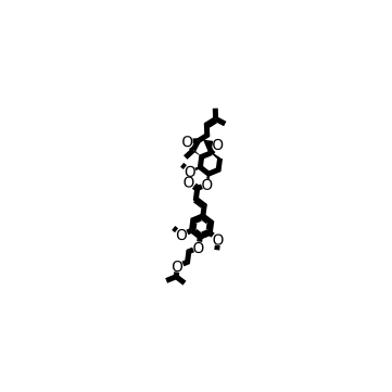 COc1cc(/C=C/C(=O)O[C@@H]2CC[C@]3(CO3)[C@@H](C3(C)OC3CC=C(C)C)[C@@H]2OC)cc(OC)c1OCCOC(C)C